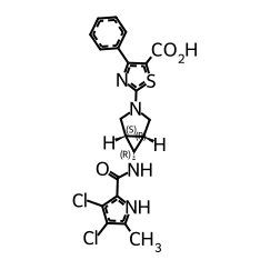 Cc1[nH]c(C(=O)N[C@@H]2[C@@H]3CN(c4nc(-c5ccccc5)c(C(=O)O)s4)C[C@@H]32)c(Cl)c1Cl